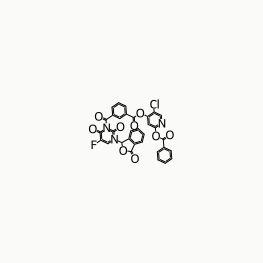 O=C(Oc1cc(OC(=O)c2cccc(C(=O)n3c(=O)c(F)cn(C4OC(=O)c5ccccc54)c3=O)c2)c(Cl)cn1)c1ccccc1